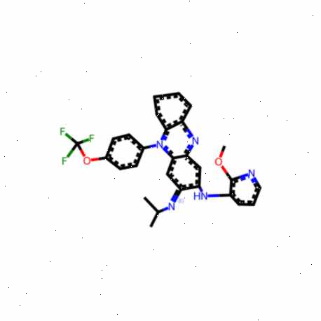 COc1ncccc1Nc1cc2nc3ccccc3n(-c3ccc(OC(F)(F)F)cc3)c-2c/c1=N\C(C)C